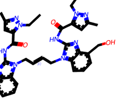 CCn1nc(C)cc1C(=O)Nc1nc2ccccc2n1C/C=C/Cn1c(NC(=O)c2cc(C)nn2CC)nc2c(CO)cccc21